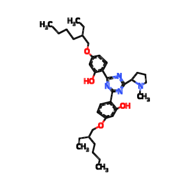 CCCCC(CC)COc1ccc(-c2nc(-c3ccc(OCC(CC)CCCC)cc3O)nc(C3CCCN3C)n2)c(O)c1